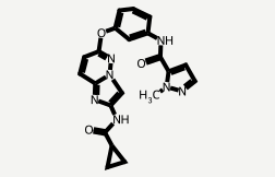 Cn1nccc1C(=O)Nc1cccc(Oc2ccc3nc(NC(=O)C4CC4)cn3n2)c1